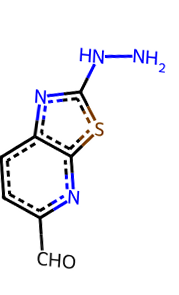 NNc1nc2ccc(C=O)nc2s1